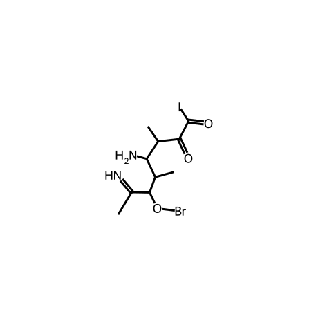 CC(=N)C(OBr)C(C)C(N)C(C)C(=O)C(=O)I